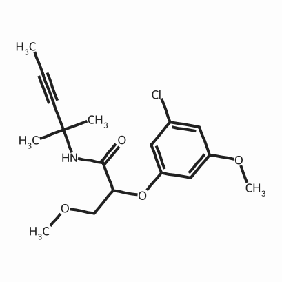 CC#CC(C)(C)NC(=O)C(COC)Oc1cc(Cl)cc(OC)c1